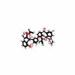 C=C(C)C(=O)OC1(C2CCOC2)c2ccccc2Oc2ccc(-c3ccc4c(c3)C(OC(=O)C(=C)C)(C3CCCO3)c3ccccc3C4=O)cc21